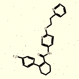 O=C(Nc1ccc(OCCc2ccccn2)nc1)C1=C(c2ccc(C(F)(F)F)cc2)CCCC1